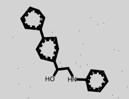 OC(CNc1ccccc1)c1ccc(-c2ccccc2)cc1